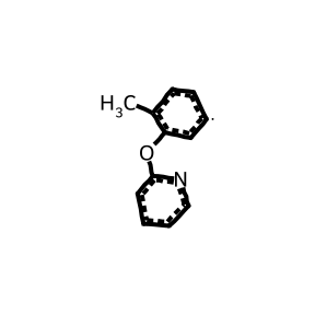 Cc1cc[c]cc1Oc1ccccn1